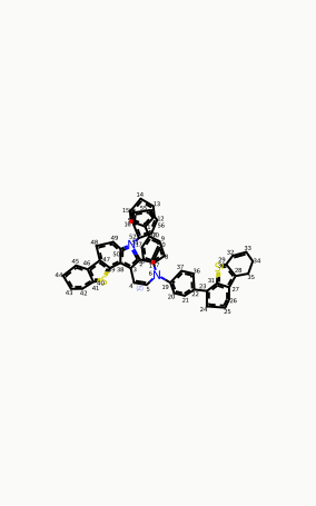 C=Cc1c(/C=C\N(c2ccc(-c3ccccc3)cc2)c2ccc(-c3cccc4c5c(sc34)C=CCC5)cc2)c2c3sc4ccccc4c3ccc2n1-c1ccccc1